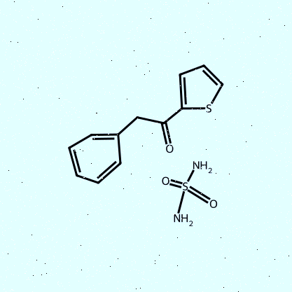 NS(N)(=O)=O.O=C(Cc1ccccc1)c1cccs1